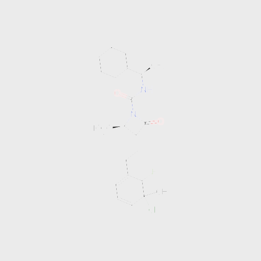 CC1(Cl)C=CC=C(CC[C@H]2C(=O)N(C(=O)N[C@@H](C3CCCCC3)C(F)(F)F)[C@@H]2C(=O)O)C1F